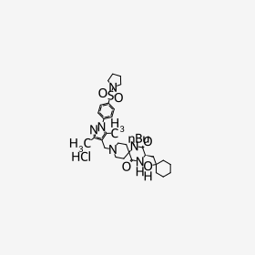 CCCCN1C(=O)[C@@H](CC2(O)CCCCC2)NC(=O)C12CCN(Cc1c(C)nn(-c3ccc(S(=O)(=O)N4CCCC4)cc3)c1C)CC2.Cl